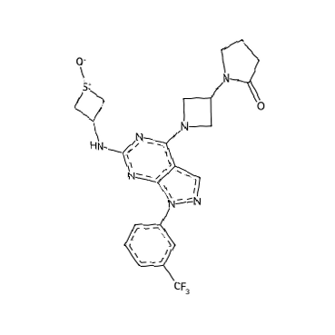 O=C1CCCN1C1CN(c2nc(NC3C[S+]([O-])C3)nc3c2cnn3-c2cccc(C(F)(F)F)c2)C1